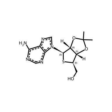 CC1(C)O[C@@H]2[C@H](O1)[C@@H](CO)S[C@H]2n1cnc2c(N)ncnc21